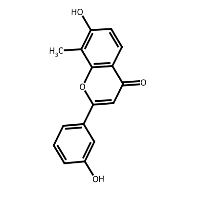 Cc1c(O)ccc2c(=O)cc(-c3cccc(O)c3)oc12